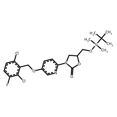 CC(C)(C)[Si](C)(C)OCC1CN(c2ccc(OCc3c(Cl)ccc(F)c3Cl)cn2)C(=O)O1